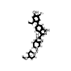 CCc1cc(O)c(F)cc1-c1ccc2c(-c3nc4c([nH]3)CCN(SN3CCC(OC)CC3)C4)n[nH]c2c1